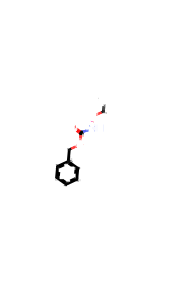 O=C(NOCC(Cl)(Cl)Cl)OCc1ccccc1